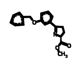 COC(=O)[C@@H]1CCC(c2cccc(OCc3ccccc3)c2)=N1